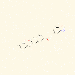 O=C(O)c1ccc(C(O)c2cc3cc(C(=O)OCc4ccc5ocnc5c4)ccc3cc2O)cc1